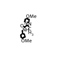 COc1ccc(CNC(=O)c2c(C)nc3cc(OC)ccn23)cc1